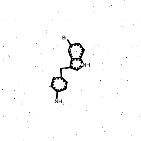 Nc1ccc(Cc2c[nH]c3ccc(Br)cc23)cc1